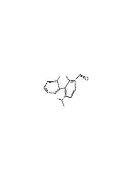 Cc1ccccc1-c1c(C(C)C)ccc(C=O)c1C